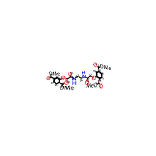 COC(=O)c1ccc(C(=O)OC)c(OCC(=O)NCCNC(=O)COc2cc(C(=O)OC)ccc2C(=O)OC)c1